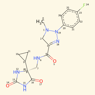 CN1CC(C(=O)NC[C@@]2(C3CC3)NC(=O)NC2=O)=NN1c1ccc(F)cc1